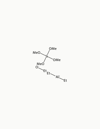 CC[O-].CO[Si](OC)(OC)OC.C[CH2][Al+][CH2]C